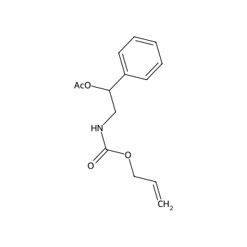 C=CCOC(=O)NCC(OC(C)=O)c1ccccc1